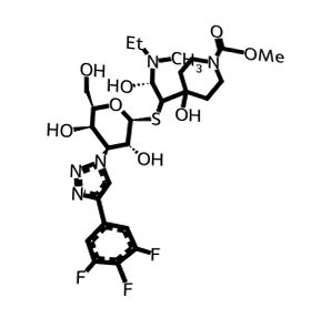 CCN(C)[C@@H](O)C(S[C@@H]1O[C@H](CO)[C@H](O)[C@H](n2cc(-c3cc(F)c(F)c(F)c3)nn2)[C@H]1O)C1(O)CCN(C(=O)OC)CC1